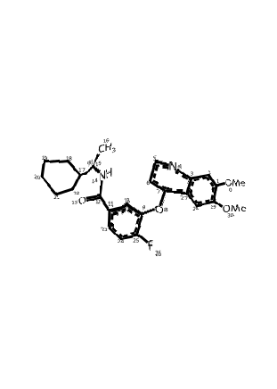 COc1cc2nccc(Oc3cc(C(=O)N[C@H](C)C4CCCCC4)ccc3F)c2cc1OC